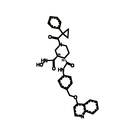 O=C(NO)[C@H]1CN(C(=O)C2(c3ccccc3)CC2)CC[C@@H]1C(=O)Nc1ccc(COc2ccnc3ccccc23)cc1